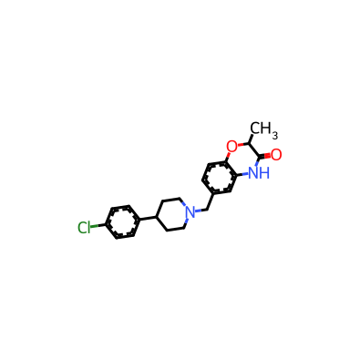 CC1Oc2ccc(CN3CCC(c4ccc(Cl)cc4)CC3)cc2NC1=O